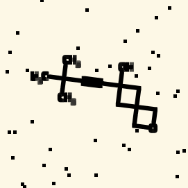 CC(C)(C)C#CC1(O)CC2(COC2)C1